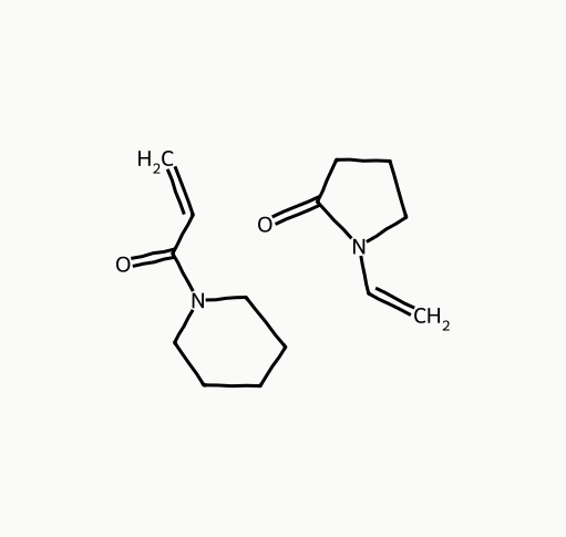 C=CC(=O)N1CCCCC1.C=CN1CCCC1=O